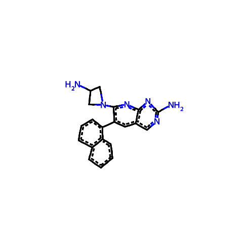 Nc1ncc2cc(-c3cccc4ccccc34)c(N3CC(N)C3)nc2n1